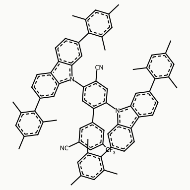 Cc1cc(C)c(-c2ccc3c4ccc(-c5c(C)cc(C)cc5C)cc4n(-c4cc(-c5cc(C#N)cc(C(F)(F)F)c5)c(-n5c6cc(-c7c(C)cc(C)cc7C)ccc6c6ccc(-c7c(C)cc(C)cc7C)cc65)cc4C#N)c3c2)c(C)c1